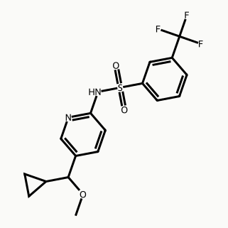 COC(c1ccc(NS(=O)(=O)c2cccc(C(F)(F)F)c2)nc1)C1CC1